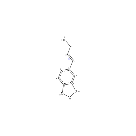 OC/C=C/c1ccc2c(c1)OCO2